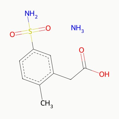 Cc1ccc(S(N)(=O)=O)cc1CC(=O)O.N